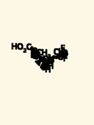 Cc1c(CN(C(=O)C2=C(c3ccc(CCCOc4c(F)ccc(F)c4Cl)cc3)C[C@@H]3CCC2N3)C2CC2)ccnc1OCCC(=O)O